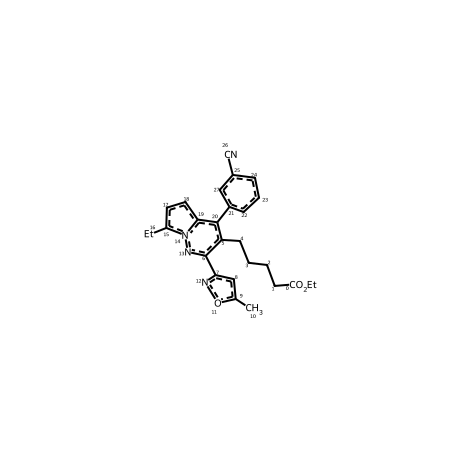 CCOC(=O)CCCCc1c(-c2cc(C)on2)nn2c(CC)ccc2c1-c1cccc(C#N)c1